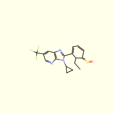 CCC1C(c2nc3cc(C(F)(F)F)cnc3n2C2CC2)=CC=CC1=S=O